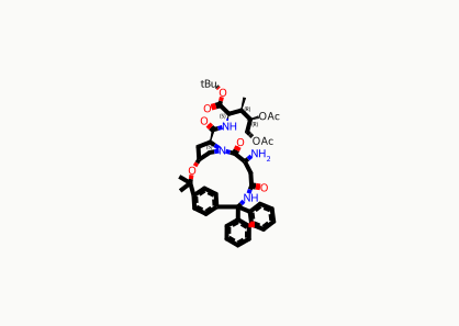 CC(=O)OC[C@H](OC(C)=O)[C@H](C)[C@H](NC(=O)[C@@H]1CC2CN1C(=O)C(N)CC(=O)NC(c1ccccc1)(c1ccccc1)c1ccc(cc1)C(C)(C)O2)C(=O)OC(C)(C)C